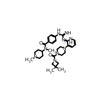 CN1CCC(N(C)C(=O)c2ccc(NC(=N)/N=c3\[nH]cccc3N3CCN(C(=O)N4CC(C)(C)C4)CC3)cc2)CC1